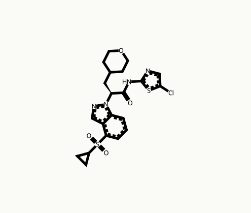 O=C(Nc1ncc(Cl)s1)[C@H](CC1CCOCC1)n1ncc2c(S(=O)(=O)C3CC3)cccc21